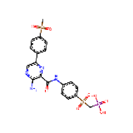 CS(=O)(=O)c1ccc(-c2cnc(N)c(C(=O)Nc3ccc(S(=O)(=O)CP(=O)(O)O)cc3)n2)cc1